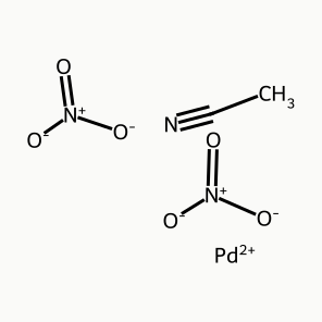 CC#N.O=[N+]([O-])[O-].O=[N+]([O-])[O-].[Pd+2]